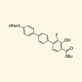 CCCCCc1ccc(-c2ccc(-c3ccc(C(=O)CCCC)c(O)c3F)cc2)cc1